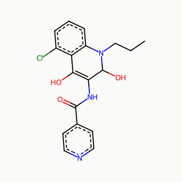 CCCN1c2cccc(Cl)c2C(O)=C(NC(=O)c2ccncc2)C1O